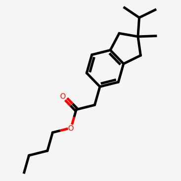 CCCCOC(=O)Cc1ccc2c(c1)CC(C)(C(C)C)C2